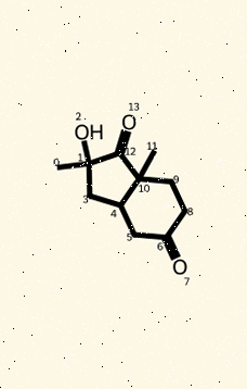 CC1(O)CC2CC(=O)CCC2(C)C1=O